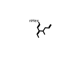 C=CCC(C)C(C=CCCCCCC)=CC